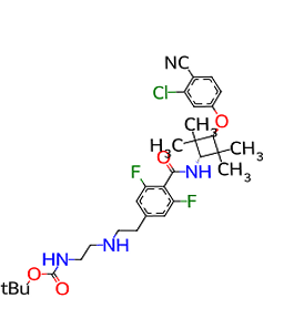 CC(C)(C)OC(=O)NCCNCCc1cc(F)c(C(=O)N[C@H]2C(C)(C)[C@H](Oc3ccc(C#N)c(Cl)c3)C2(C)C)c(F)c1